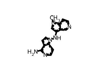 Cn1cc(Nn2ccc3c(N)nccc32)c2cnccc21